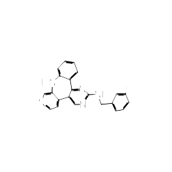 Clc1cccc(CNc2ncc3c(n2)-c2ccccc2Nc2cnccc2-3)c1